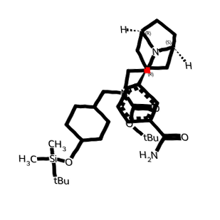 CC(C)(C)OC(=O)N(CCN1[C@@H]2CC[C@H]1C[C@@H](c1cccc(C(N)=O)c1)C2)CC1CCC(O[Si](C)(C)C(C)(C)C)CC1